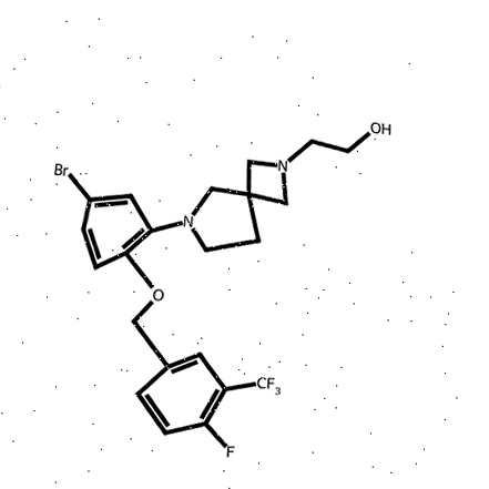 OCCN1CC2(CCN(c3cc(Br)ccc3OCc3ccc(F)c(C(F)(F)F)c3)C2)C1